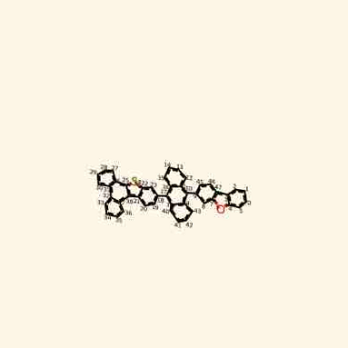 c1ccc2c(c1)oc1cc(-c3c4ccccc4c(-c4ccc5c(c4)sc4c6ccccc6c6ccccc6c54)c4ccccc34)ccc12